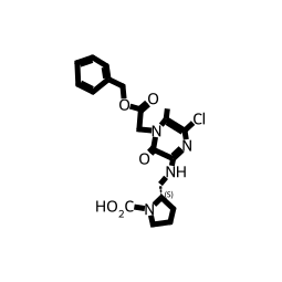 Cc1c(Cl)nc(NC[C@@H]2CCCN2C(=O)O)c(=O)n1CC(=O)OCc1ccccc1